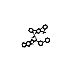 CC1(C)c2ccccc2-c2cc3c4ccccc4n(-c4nc(-c5cccc(-c6ccccc6)c5)c5sc6cc7ccccc7cc6c5n4)c3cc21